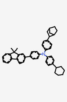 CC1(C)c2ccccc2-c2ccc(-c3ccc(N(c4ccc(C5CCCCC5)cc4)c4ccc(C5CC6CCC5C6)cc4)cc3)cc21